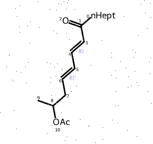 CCCCCCCC(=O)/C=C/C=C/CC(C)OC(C)=O